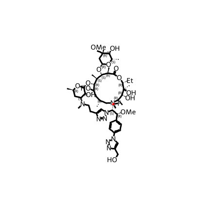 CC[C@H]1OC(=O)[C@H](C)[C@@H](O[C@H]2C[C@@](C)(OC)[C@@H](O)[C@H](C)O2)[C@H](C)[C@@H](O[C@@H]2O[C@H](C)C[C@H](N(C)CCc3cn([C@H](CF)[C@H](OC)c4ccc(-n5cc(CO)nn5)cc4)nn3)[C@H]2O)[C@](C)(O)C[C@@H](C)CN(C)[C@H](C)[C@@H](O)[C@]1(C)O